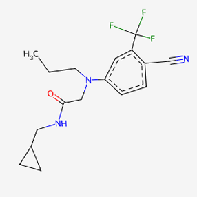 CCCN(CC(=O)NCC1CC1)c1ccc(C#N)c(C(F)(F)F)c1